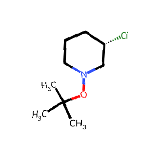 CC(C)(C)ON1CCC[C@H](Cl)C1